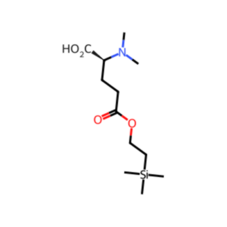 CN(C)[C@@H](CCC(=O)OCC[Si](C)(C)C)C(=O)O